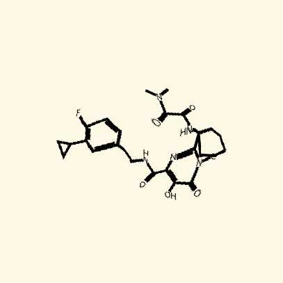 CN(C)C(=O)C(=O)NC12CCC(CC1)Cn1c2nc(C(=O)NCc2ccc(F)c(C3CC3)c2)c(O)c1=O